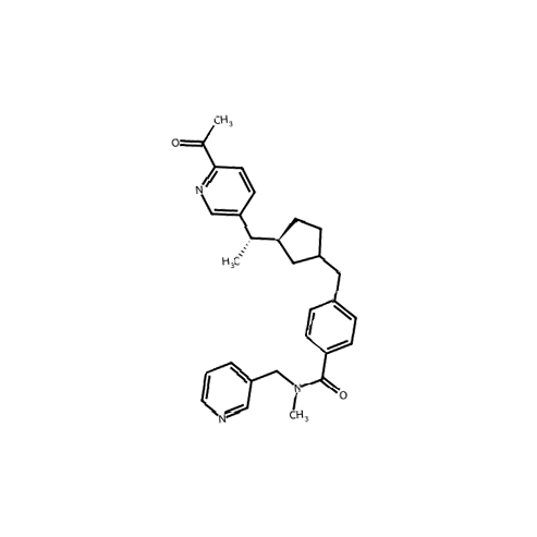 CC(=O)c1ccc([C@@H](C)[C@H]2CCC(Cc3ccc(C(=O)N(C)Cc4cccnc4)cc3)C2)cn1